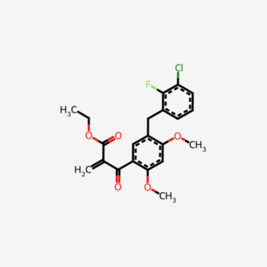 C=C(C(=O)OCC)C(=O)c1cc(Cc2cccc(Cl)c2F)c(OC)cc1OC